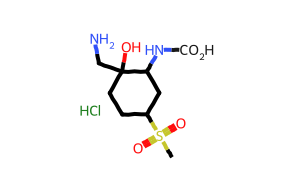 CS(=O)(=O)C1CCC(O)(CN)C(NC(=O)O)C1.Cl